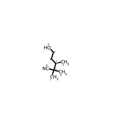 C[C@H](CCO)C(C)(C)C#N